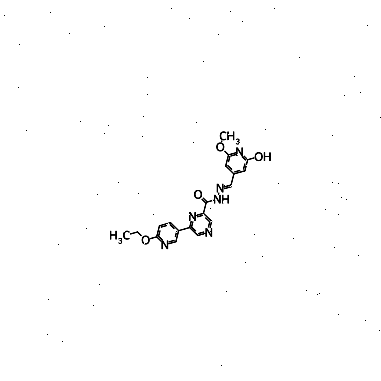 CCOc1ccc(-c2cncc(C(=O)N/N=C/c3cc(O)nc(OC)c3)n2)cn1